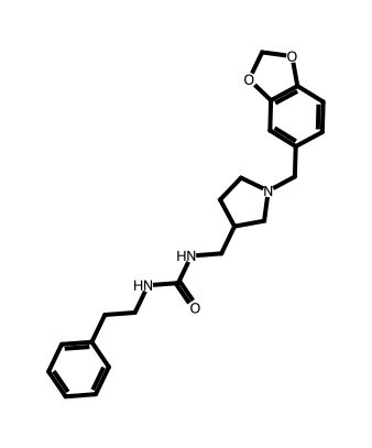 O=C(NCCc1ccccc1)NCC1CCN(Cc2ccc3c(c2)OCO3)C1